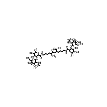 COC1OC(C(=O)NCCCCC(N)C(=O)CC(CCCCNC(=O)C2OC(OC)C(O)C(O)C2OC2OC(CO)C(C)(O)C(O)C2NC(C)=O)C(=O)O)C(OC2OC(CO)C(C)(O)C(O)C2NC(C)=O)C(O)C1O